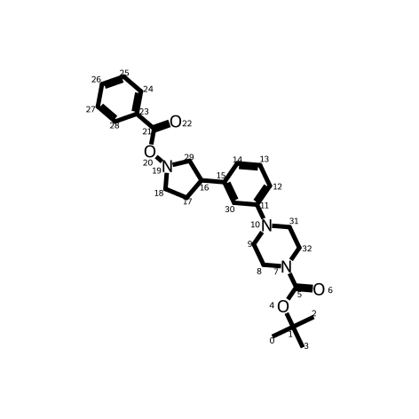 CC(C)(C)OC(=O)N1CCN(c2cccc(C3CCN(OC(=O)c4ccccc4)C3)c2)CC1